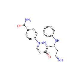 N=CCC(Nc1ccccc1)c1nn(-c2ccc(C(N)=O)cc2)ccc1=O